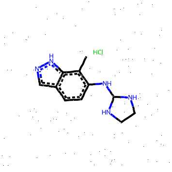 Cc1c(NC2NCCN2)ccc2cn[nH]c12.Cl